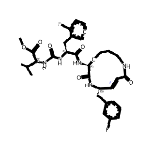 COC(=O)[C@@H](NC(=O)N[C@@H](Cc1ccccc1F)C(=O)N[C@H]1CCCCNC(=O)/C=C/[C@H](Cc2cccc(F)c2)NC1=O)C(C)C